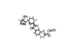 CCCOC(=O)N1CCc2ccc(C(=O)Nc3cccc(-c4nncn4C(C)C)n3)cc2C1